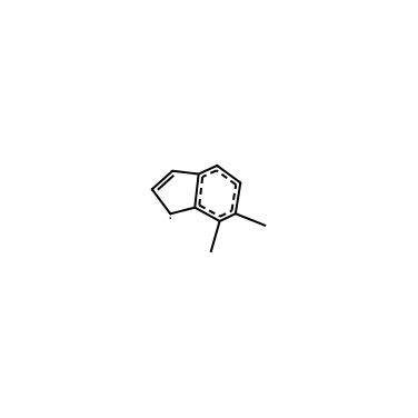 Cc1ccc2c(c1C)[CH]C=C2